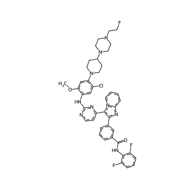 COc1cc(N2CCC(N3CCN(CCF)CC3)CC2)c(Cl)cc1Nc1nccc(-c2c(-c3cccc(C(=O)Nc4c(F)cccc4F)c3)nc3ccccn23)n1